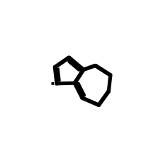 [C]1=CC=C2CCCCC=C12